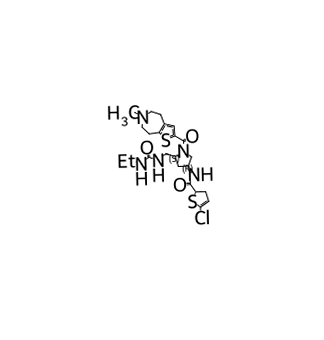 CCNC(=O)NC[C@@H]1C[C@@H](NC(=O)C2CC=C(Cl)S2)CN1C(=O)c1cc2c(s1)CCN(C)CC2